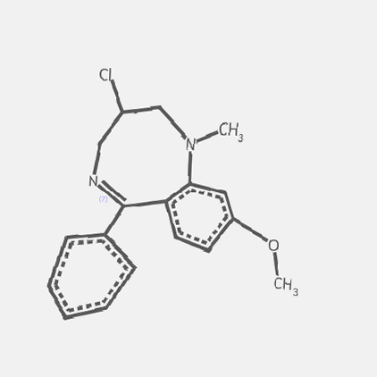 COc1ccc2c(c1)N(C)CC(Cl)C/N=C\2c1ccccc1